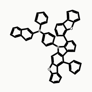 c1ccc(-c2c3c(cc4c2c2cccc(-c5cccc6c5oc5ccccc56)c2n4-c2ccc(N(c4ccccc4)c4ccc5ccccc5c4)cc2)oc2ccccc23)cc1